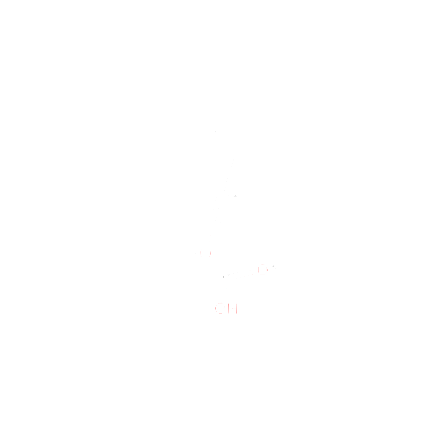 CCC#COC(=O)O